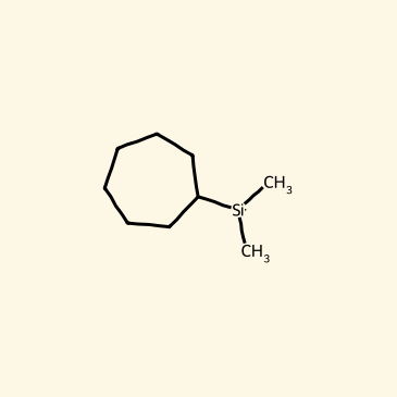 C[Si](C)C1CCCCCC1